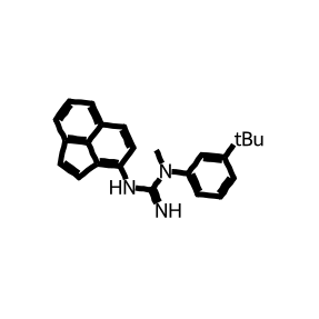 CN(C(=N)Nc1ccc2cccc3c2c1C=C3)c1cccc(C(C)(C)C)c1